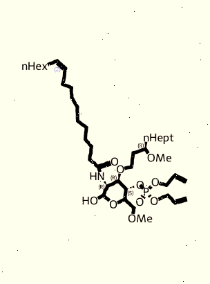 C=CCOP(=O)(OCC=C)O[C@@H]1C(COC)OC(O)[C@H](NC(=O)CCCCCCCCC/C=C\CCCCCC)[C@H]1OCC[C@@H](CCCCCCC)OC